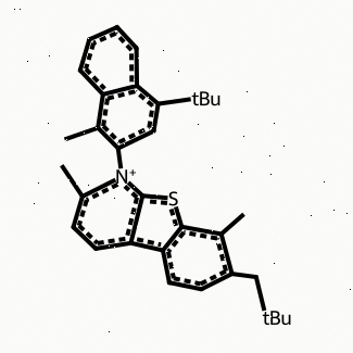 Cc1c(-[n+]2c(C)ccc3c4ccc(CC(C)(C)C)c(C)c4sc32)cc(C(C)(C)C)c2ccccc12